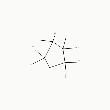 CC1(F)C(F)(F)CC(F)(F)C1(C)F